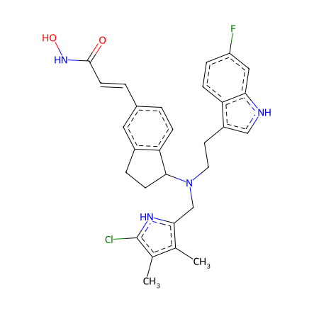 Cc1c(Cl)[nH]c(CN(CCc2c[nH]c3cc(F)ccc23)C2CCc3cc(C=CC(=O)NO)ccc32)c1C